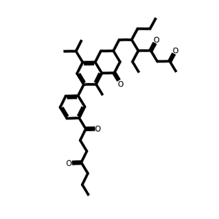 CCCC(=O)CCC(=O)c1cccc(-c2cc(C(C)C)c3c(c2C)C(=O)CC(CC(CCC)C(CC)C(=O)CC(C)=O)C3)c1